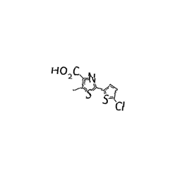 Cc1sc(-c2ccc(Cl)s2)nc1C(=O)O